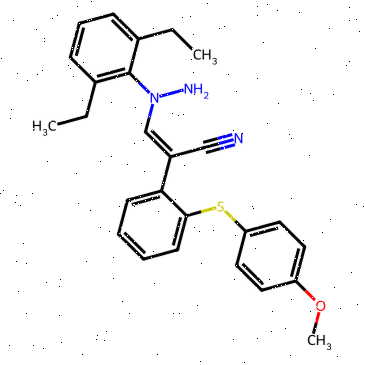 CCc1cccc(CC)c1N(N)/C=C(\C#N)c1ccccc1Sc1ccc(OC)cc1